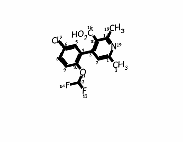 Cc1cc(-c2cc(Cl)ccc2OC(F)F)c(C(=O)O)c(C)n1